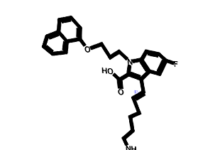 NCCCC/C=C/c1c(C(=O)O)n(CCCOc2cccc3ccccc23)c2ccc(F)cc12